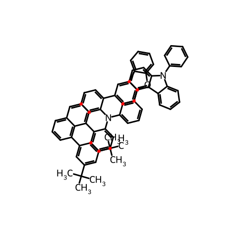 CC(C)(C)c1cc(-c2cccc3cccc(-c4ccccc4N(c4cccc(-c5cccc6c5c5ccccc5n6-c5ccccc5)c4)c4ccccc4-c4ccc5oc6ccccc6c5c4)c23)cc(C(C)(C)C)c1